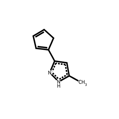 Cc1cc(C2=CC=CC2)n[nH]1